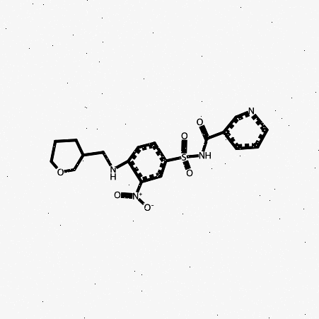 O=C(NS(=O)(=O)c1ccc(NCC2CCCOC2)c([N+](=O)[O-])c1)c1cccnc1